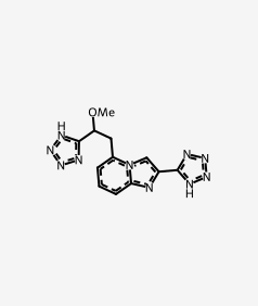 COC(Cc1cccc2nc(-c3nnn[nH]3)cn12)c1nnn[nH]1